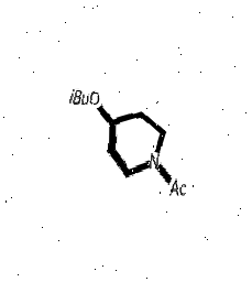 CC(=O)N1CCC(OCC(C)C)CC1